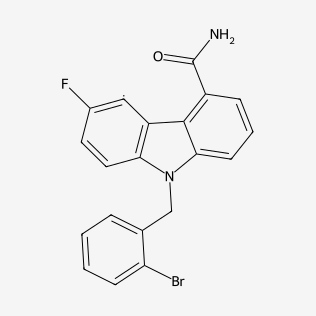 NC(=O)c1cccc2c1c1[c]c(F)ccc1n2Cc1ccccc1Br